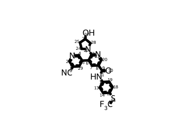 N#Cc1cncc(-c2cc(C(=O)Nc3ccc(SC(F)(F)F)cc3)cnc2N2CCC(O)C2)c1